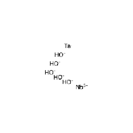 [Nb+5].[OH-].[OH-].[OH-].[OH-].[OH-].[Ta]